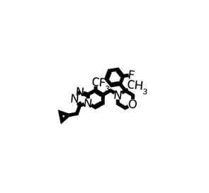 C[C@@]1(c2ccccc2F)COCCN1Cc1ccn2c(CC3CC3)nnc2c1C(F)(F)F